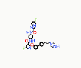 O=C(N[C@H]1CC[C@@H](NC(=O)c2cc(F)cnc2Oc2cccc(-c3ccc(CCCN4CCNCC4)cc3)c2)CC1)c1cn2cc(F)ccc2n1